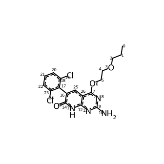 CCCOCCOc1nc(N)nc2[nH]c(=O)c(-c3c(Cl)cccc3Cl)cc12